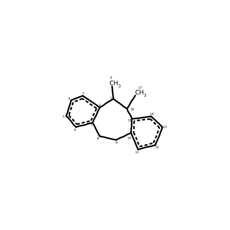 CC1c2ccccc2CCc2ccccc2C1C